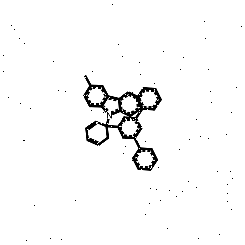 Cc1ccc2c(c1)c1ccccc1n2C1(c2cc(-c3ccccc3)cc(-c3ccccc3)c2)C=CC=CC1